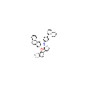 c1ccc2c(-c3ccc(N(c4ccc5ccc6ccccc6c5c4)c4cccc5c4oc4c6ccccc6ccc54)cc3)cccc2c1